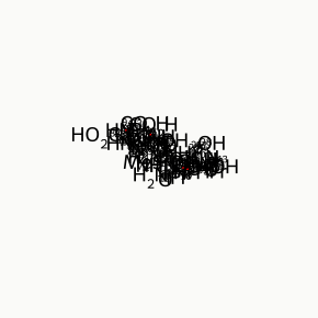 CSCC[C@H](NC(=O)[C@H](CCC(N)=O)NC(=O)[C@H](CC(C)C)NC(=O)[C@H](Cc1ccc(O)cc1)NC(=O)[C@H](CC(C)C)NC(=O)[C@@H](N)[C@@H](C)O)C(=O)N[C@@H](CC(N)=O)C(=O)N[C@@H](CO)C(=O)N[C@@H](CC(C)C)C(=O)N[C@@H](CCCCN)C(=O)N1CCC[C@H]1C(=O)N[C@@H](CCC(=O)O)C(=O)N[C@@H](CC(=O)O)C(=O)O